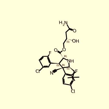 CC(C)(C)C[C@@H]1N[C@@H](C(=O)OC[C@@H](O)CC(N)=O)[C@H](c2cc(Cl)ccc2F)[C@@]1(C#N)c1ccc(Cl)cc1F